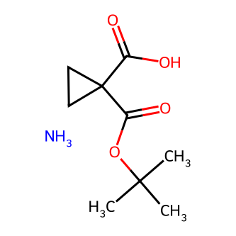 CC(C)(C)OC(=O)C1(C(=O)O)CC1.N